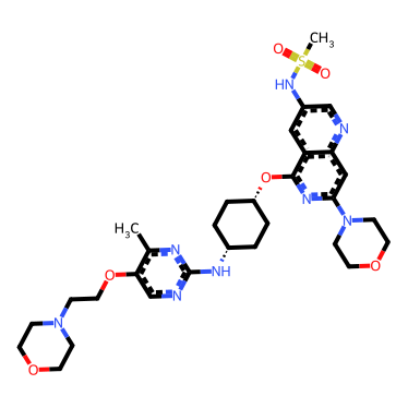 Cc1nc(N[C@H]2CC[C@@H](Oc3nc(N4CCOCC4)cc4ncc(NS(C)(=O)=O)cc34)CC2)ncc1OCCN1CCOCC1